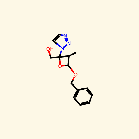 CC1C(OCc2ccccc2)OC1(CO)n1ccnn1